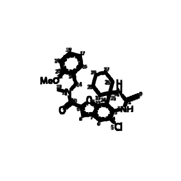 C=C1Nc2c(Cl)cc3cc(C(=O)N(C)Cc4ccccc4OC)oc3c2C2(CCCCC2)N1